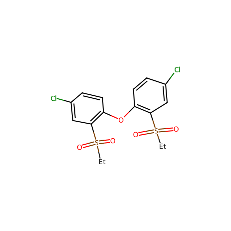 CCS(=O)(=O)c1cc(Cl)ccc1Oc1ccc(Cl)cc1S(=O)(=O)CC